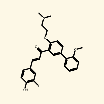 COc1ccccc1-c1ccc(OCCN(C)C)c(C(=O)C=Cc2ccc(O)c(F)c2)c1